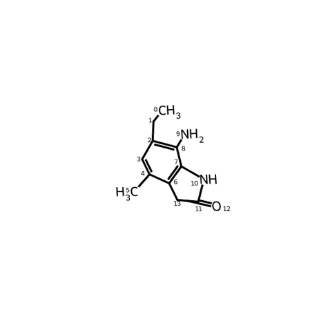 CCc1cc(C)c2c(c1N)NC(=O)C2